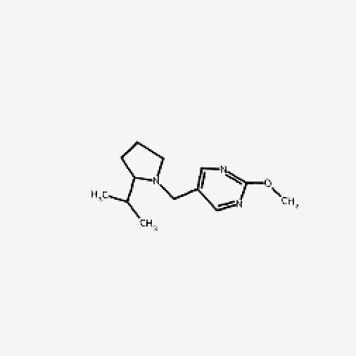 COc1ncc(CN2CCCC2C(C)C)cn1